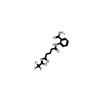 NC(=O)c1ccccc1NC(=O)CCCc1noc(C(F)(F)F)n1